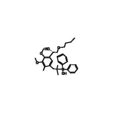 CCCCOC[C@@H](O)c1cc(CC(C)(C)[Si](O)(c2ccccc2)c2ccccc2)c(C)c(OC)c1OC